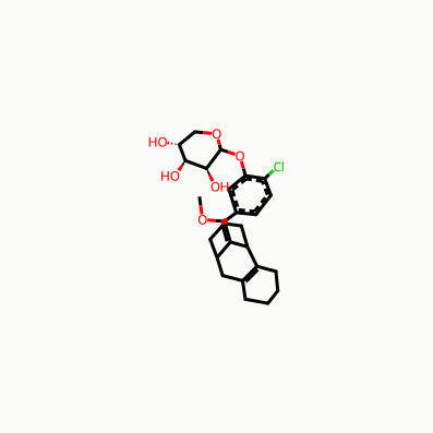 CO/C(=C1\C2CCCC1C1=C(CCCC1)C2)c1ccc(Cl)c(OC2OC[C@@H](O)[C@H](O)[C@@H]2O)c1